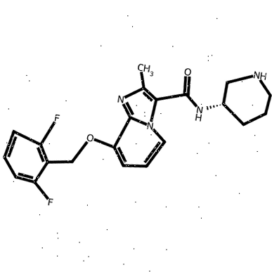 Cc1nc2c(OCc3c(F)cccc3F)cccn2c1C(=O)N[C@H]1CCCNC1